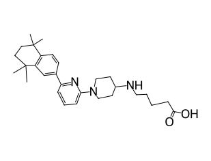 CC1(C)CCC(C)(C)c2cc(-c3cccc(N4CCC(NCCCCC(=O)O)CC4)n3)ccc21